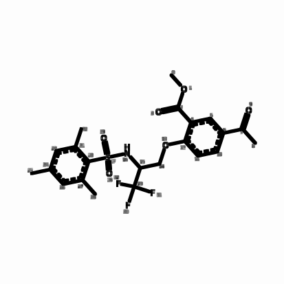 COC(=O)c1cc(C(C)=O)ccc1OCC(NS(=O)(=O)c1c(C)cc(C)cc1C)C(F)(F)F